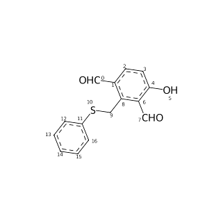 O=Cc1ccc(O)c(C=O)c1CSc1ccccc1